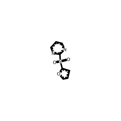 O=S(=O)(c1ncccn1)c1ccco1